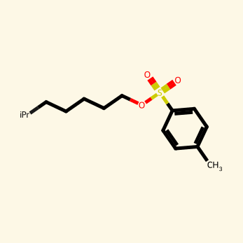 Cc1ccc(S(=O)(=O)OCCCCCC(C)C)cc1